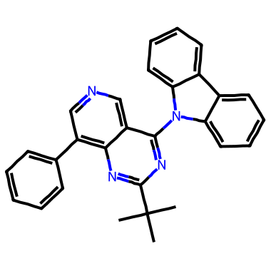 CC(C)(C)c1nc(-n2c3ccccc3c3ccccc32)c2cncc(-c3ccccc3)c2n1